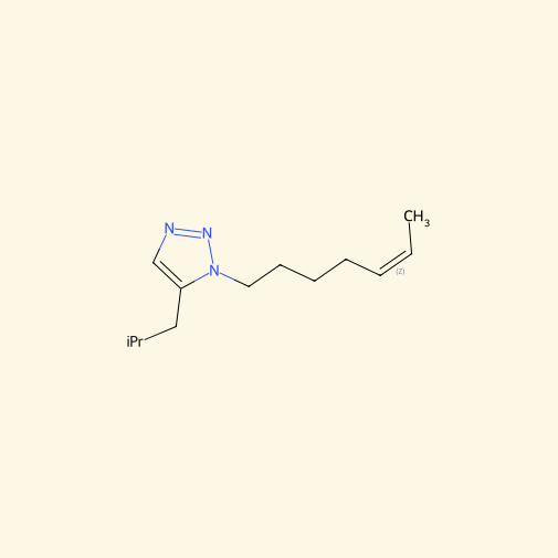 C/C=C\CCCCn1nncc1CC(C)C